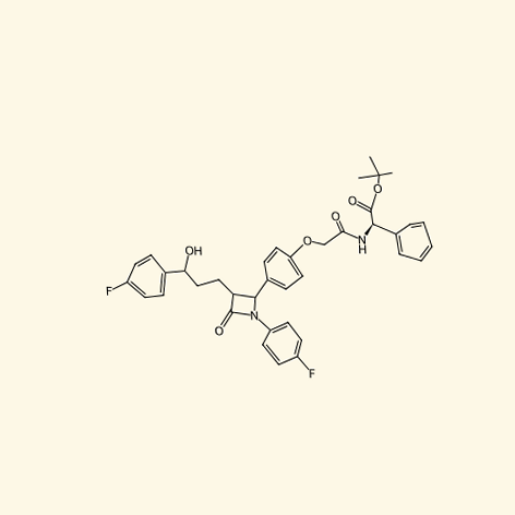 CC(C)(C)OC(=O)[C@H](NC(=O)COc1ccc(C2C(CCC(O)c3ccc(F)cc3)C(=O)N2c2ccc(F)cc2)cc1)c1ccccc1